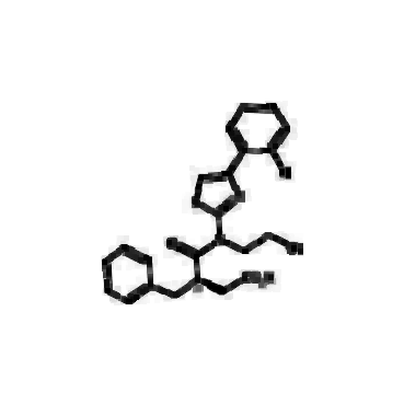 O=C(O)C[C@@H](Cc1ccccc1)C(=O)N(CCO)c1nc(-c2ccccc2Cl)cs1